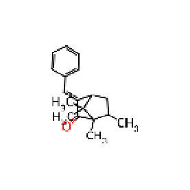 CC1CC2C(=Cc3ccccc3)C(=O)C1(C)C2(C)C